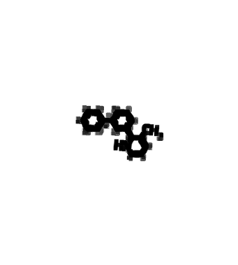 CC1=CC=CNC1c1cccc(-c2ccccc2)c1